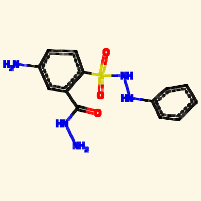 NNC(=O)c1cc(N)ccc1S(=O)(=O)NNc1ccccc1